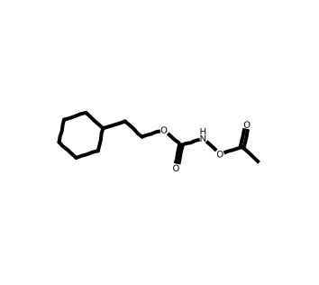 CC(=O)ONC(=O)OCCC1CCCCC1